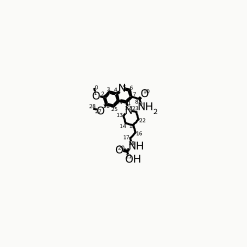 COc1cc2ncc(C(N)=O)c(N3CCC(CCNC(=O)O)CC3)c2cc1OC